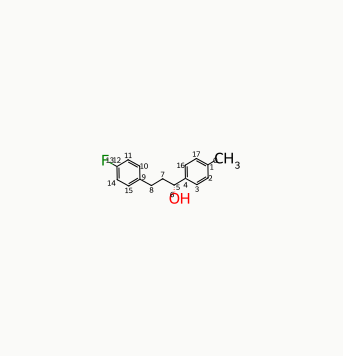 Cc1ccc([C@H](O)CCc2ccc(F)cc2)cc1